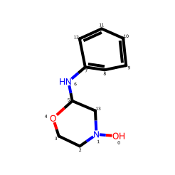 ON1CCOC(Nc2ccccc2)C1